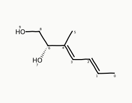 C/C=C/C=C(\C)[C@H](O)CO